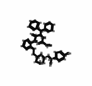 COC(=O)NC(C(=O)Nc1ccccc1CC[C@@H]1CNC[C@@H](C[S+]([O-])c2ccc(Cl)cc2)O1)C(c1ccccc1)c1ccccc1